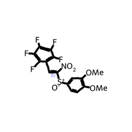 COc1ccc([S+]([O-])/C(=C/c2c(F)c(F)c(F)c(F)c2F)[N+](=O)[O-])cc1OC